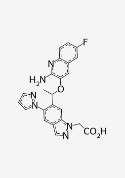 CC(Oc1cc2cc(F)ccc2nc1N)c1cc2c(cnn2CC(=O)O)cc1-n1cccn1